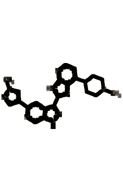 CN1CCC(c2ccnc3[nH]c(-c4n[nH]c5cnc(-c6cnn(C)c6)cc45)nc23)CC1